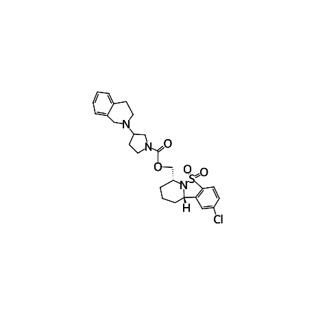 O=C(OC[C@H]1CCC[C@H]2c3cc(Cl)ccc3S(=O)(=O)N12)N1CCC(N2CCc3ccccc3C2)C1